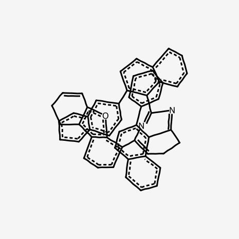 C1=Cc2oc3c(C4=C/CC/C(c5c(-c6ccccc6)ccc6ccccc56)=N/C(c5c(-c6ccc7ccccc7c6)ccc6ccccc56)=N\4)cccc3c2CC1